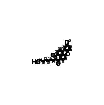 COc1ccc2oc3ccc4c(=O)n(CCCCCCO)c(=O)c5ccc(c2c1)c3c45